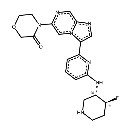 O=C1COCCN1c1cn2c(-c3cccc(N[C@H]4CNCC[C@@H]4F)n3)cnc2cn1